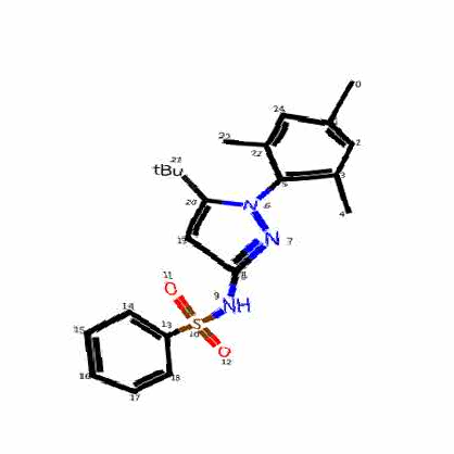 Cc1cc(C)c(-n2nc(NS(=O)(=O)c3ccccc3)cc2C(C)(C)C)c(C)c1